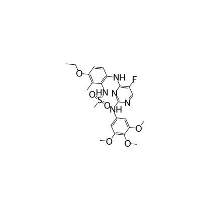 CCOc1ccc(Nc2nc(Nc3cc(OC)c(OC)c(OC)c3)ncc2F)c(NS(C)(=O)=O)c1C